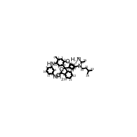 Cc1cc2c(cc1Nc1cccc(N)c1)C1(OC(=O)c3ccccc31)c1ccc(N(CCC(C)C)C(C)N)cc1O2